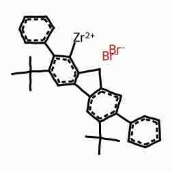 CC(C)(C)c1cc2c(cc1-c1ccccc1)Cc1c-2cc(C(C)(C)C)c(-c2ccccc2)[c]1[Zr+2].[Br-].[Br-]